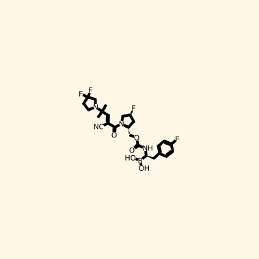 CC(C)(C=C(C#N)C(=O)N1C[C@@H](F)C[C@@H]1COC(=O)N[C@@H](Cc1ccc(F)cc1)B(O)O)N1CCC(F)(F)C1